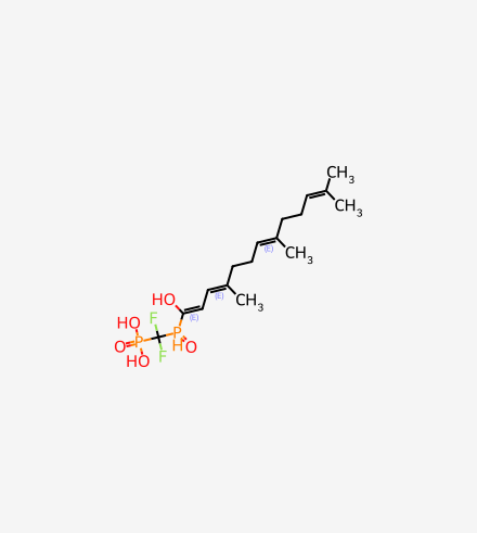 CC(C)=CCC/C(C)=C/CC/C(C)=C/C=C(\O)[PH](=O)C(F)(F)P(=O)(O)O